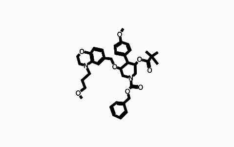 COCCCN1CCOc2ccc(COC3CN(C(=O)OCc4ccccc4)CC(OC(=O)C(C)(C)C)C3c3ccc(OC)cc3)cc21